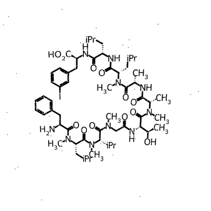 CC(C)C[C@H](NC(=O)[C@H](CC(C)C)N(C)C(=O)[C@H](C)NC(=O)[C@H](C)N(C)C(=O)[C@@H](NC(=O)CN(C)C(=O)[C@H](C(C)C)N(C)C(=O)[C@H](CC(C)C)N(C)C(=O)[C@@H](N)Cc1ccccc1)[C@@H](C)O)C(=O)N[C@@H](Cc1cccc(I)c1)C(=O)O